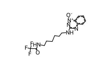 O=C(NCCCCCCNc1nc2ccccc2[n+]([O-])n1)C(F)(F)F